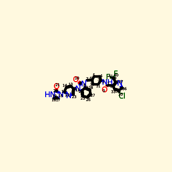 O=C(NC1CCC(Cn2c(=O)n(-c3ccc(-n4cc[nH]c4=O)nc3)c3ccccc32)CC1)c1cc(Cl)cnc1C(F)F